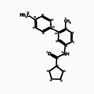 Cc1ccc(NC(=O)C2CCCC2)cc1-c1ccc(C(=O)O)cc1